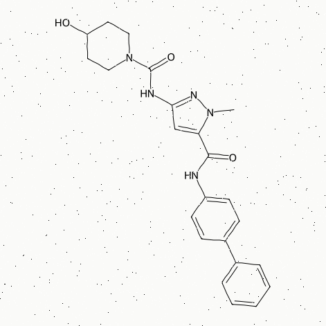 Cn1nc(NC(=O)N2CCC(O)CC2)cc1C(=O)Nc1ccc(-c2ccccc2)cc1